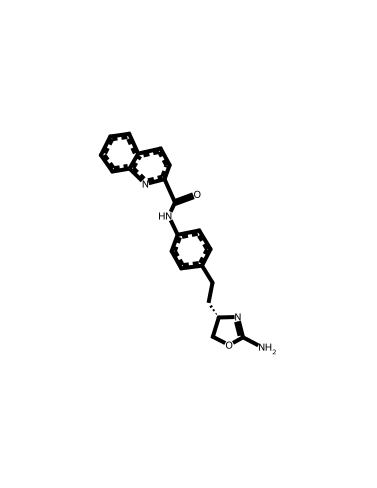 NC1=N[C@@H](CCc2ccc(NC(=O)c3ccc4ccccc4n3)cc2)CO1